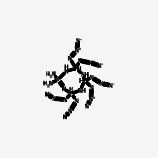 [N-]=[N+]=N[PH]1(N=[N+]=[N-])N=P(N)(N)N[PH](N=[N+]=[N-])(N=[N+]=[N-])N[PH](N=[N+]=[N-])(N=[N+]=[N-])N1